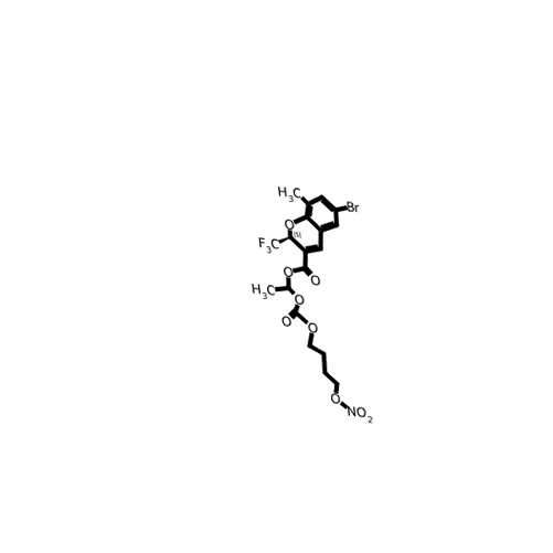 Cc1cc(Br)cc2c1O[C@H](C(F)(F)F)C(C(=O)OC(C)OC(=O)OCCCCO[N+](=O)[O-])=C2